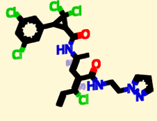 C=C/C(Cl)=C(\C=C(/C)NC(=O)C1C(c2cc(Cl)cc(Cl)c2)C1(Cl)Cl)C(=O)NCCn1cccn1